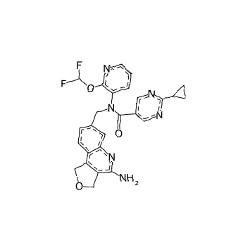 Nc1nc2cc(CN(C(=O)c3cnc(C4CC4)nc3)c3cccnc3OC(F)F)ccc2c2c1COC2